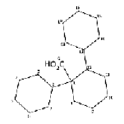 O=C(O)C1(C2CCCCC2)CCCCC1C1CCCCC1